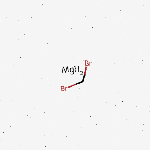 BrCBr.[MgH2]